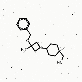 C[C@]1(CC#N)CC[C@@H](N2CC(OCc3ccccc3)(C(F)(F)F)C2)CC1